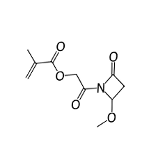 C=C(C)C(=O)OCC(=O)N1C(=O)CC1OC